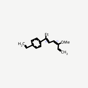 C=C/C(=C\C=C(/CC)c1ccc(C=C)cc1)OC